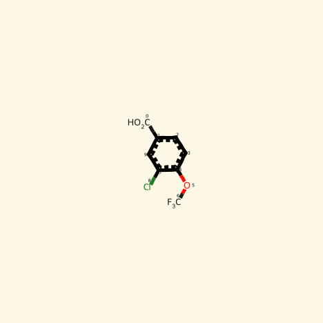 O=C(O)c1ccc(OC(F)(F)F)c(Cl)c1